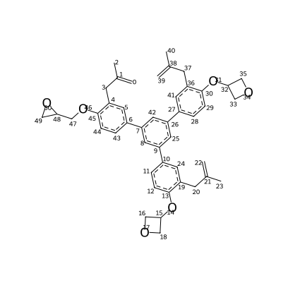 C=C(C)Cc1cc(-c2cc(-c3ccc(OC4COC4)c(CC(=C)C)c3)cc(-c3ccc(OC4COC4)c(CC(=C)C)c3)c2)ccc1OCC1CO1